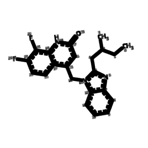 CCC(C)Cc1nc2ccccc2n1Cc1cc(=O)[nH]c2c(F)c(F)ccc12